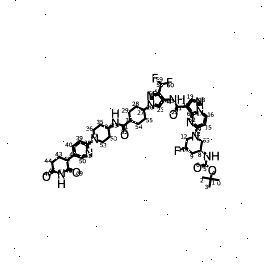 CC(C)(C)OC(=O)N[C@@H]1C[C@@H](F)CN(c2ccn3ncc(C(=O)Nc4cn(C5CCC(C(=O)NC6CCN(c7ccc(C8CCC(=O)NC8=O)cn7)CC6)CC5)nc4C(F)F)c3n2)C1